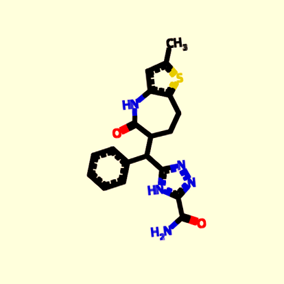 Cc1cc2c(s1)CCC(C(c1ccccc1)c1nnc(C(N)=O)[nH]1)C(=O)N2